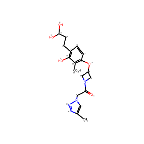 Cc1cn(CC(=O)N2CC(Oc3ccc(CCB(O)O)c(O)c3C(=O)O)C2)nn1